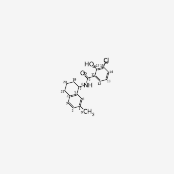 Cc1ccc2c(c1)C(NC(=O)c1cccc(Cl)c1O)CCC2